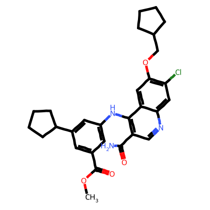 COC(=O)c1cc(Nc2c(C(N)=O)cnc3cc(Cl)c(OCC4CCCC4)cc23)cc(C2CCCC2)c1